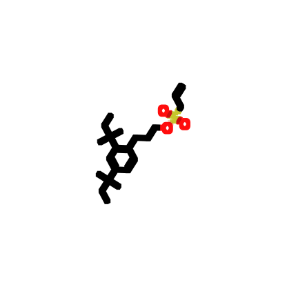 C=CCS(=O)(=O)OCCCc1ccc(C(C)(C)CC)cc1C(C)(C)CC